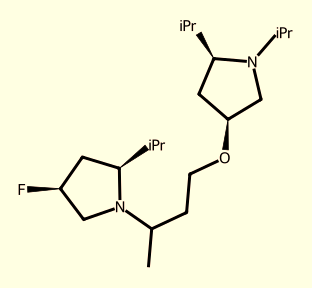 CC(C)[C@@H]1C[C@H](OCCC(C)N2C[C@@H](F)C[C@H]2C(C)C)CN1C(C)C